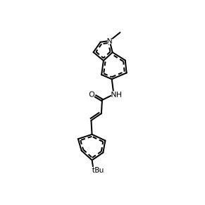 Cn1ccc2cc(NC(=O)/C=C/c3ccc(C(C)(C)C)cc3)ccc21